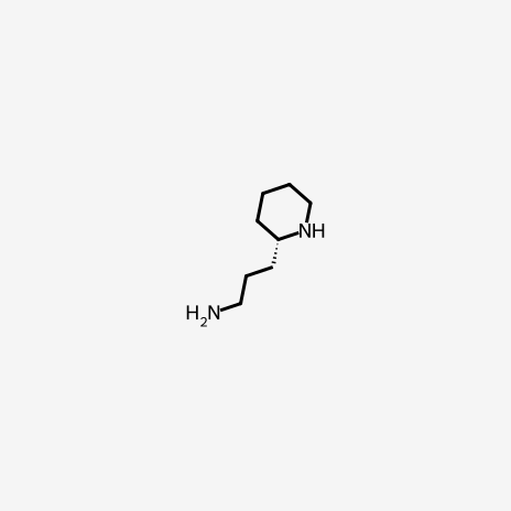 NCCC[C@@H]1CCCCN1